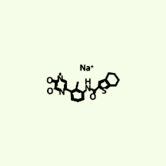 Cc1c(NC(=O)c2cc3c(s2)CCCC3)cccc1-c1cn(C)c(=O)c([O-])n1.[Na+]